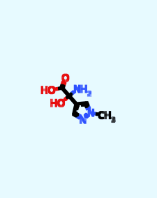 Cn1cc(C(N)(O)C(=O)O)cn1